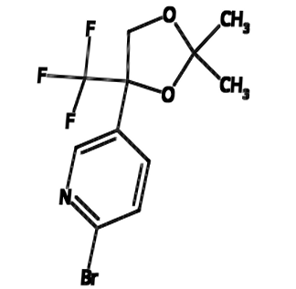 CC1(C)OCC(c2ccc(Br)nc2)(C(F)(F)F)O1